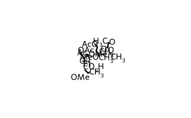 CCOC(=O)C(C)=O.CCOCCOC(C)=O.COC(=O)C(C)=O.COC(C)(C)CCOC(C)=O.COC(C)CC(=O)O